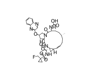 C[C@@H]1CCC=C[C@@H]2C[C@@]2(C(=O)NS(=O)(=O)C2(CF)CC2)NC(=O)[C@@H]2C[C@@H](Oc3cnc4ccccc4n3)CN2C(=O)[C@@H](NC(=O)O)[C@H](C)C1